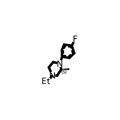 CCN1CCN(c2ccc(F)cc2)[C@@H](C)C1